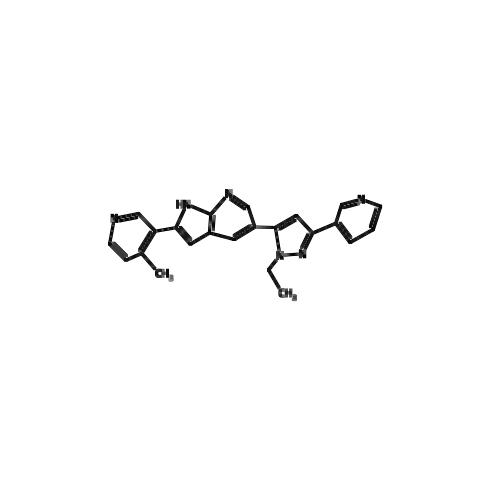 CCn1nc(-c2cccnc2)cc1-c1cnc2[nH]c(-c3cnccc3C)cc2c1